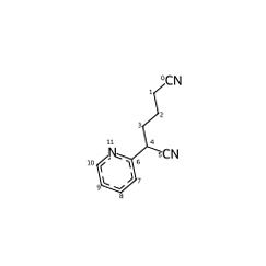 N#CCCCC(C#N)c1ccccn1